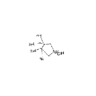 Cl.[2H]C1([2H])CNCC1([2H])[2H]